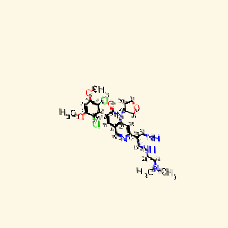 COc1cc(OC)c(Cl)c(-c2cc3cnc(/C(C=N)=C/NCCN(C)C)cc3n(C3CCOC3)c2=O)c1Cl